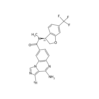 [2H]c1ncn2c1c(N)nc1ccc(C(=O)N(C)[C@@H]3COc4cc(C(F)(F)F)ccc43)cc12